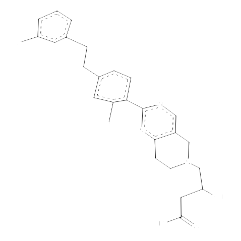 CC(CC(=O)O)CN1CCc2nc(-c3ccc(CCc4cccc(Cl)c4)cc3F)ncc2C1